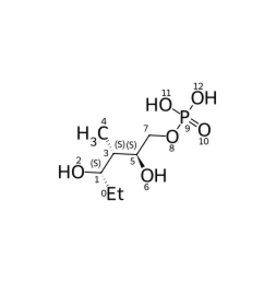 CC[C@H](O)[C@H](C)[C@H](O)COP(=O)(O)O